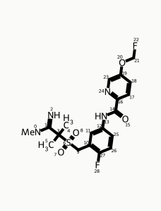 CNC(=N)C(C)(C)S(=O)(=O)Cc1cc(NC(=O)c2ccc(OCF)cn2)ccc1F